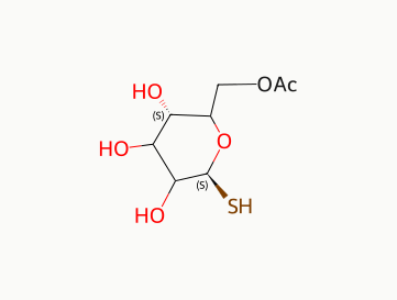 CC(=O)OCC1O[C@@H](S)C(O)C(O)[C@@H]1O